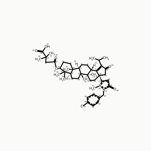 CC(C)C1=C2[C@H]3CC[C@@H]4[C@@]5(C)CC[C@H](OC(=O)CC(C)(C)C(=O)O)C(C)(C)[C@@H]5CC[C@@]4(C)[C@]3(C)CC[C@@]2(c2cc(=O)n(Cc3ccc(Cl)cc3)n2C)CC1=O